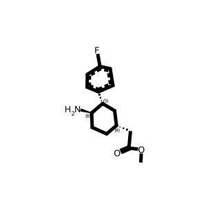 COC(=O)C[C@@H]1CC[C@@H](N)[C@H](c2ccc(F)cc2)C1